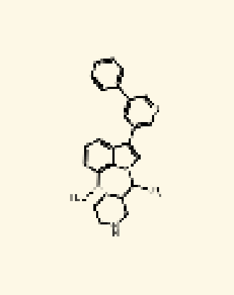 COc1cccc2c(-c3cncc(-c4ccccc4)c3)cn(C(C)C3CCCNC3)c12